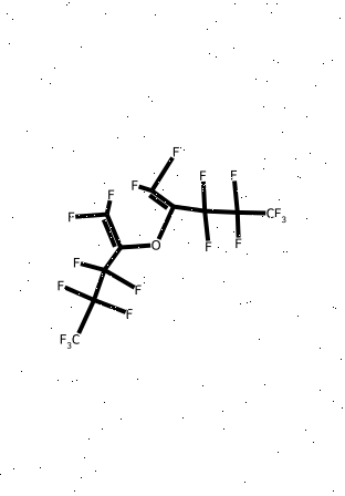 FC(F)=C(OC(=C(F)F)C(F)(F)C(F)(F)C(F)(F)F)C(F)(F)C(F)(F)C(F)(F)F